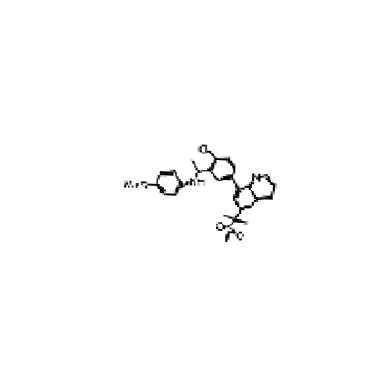 CSc1ccc(NC(C)c2cc(-c3cc(C(C)(C)S(C)(=O)=O)cc4cccnc34)ccc2Cl)cc1